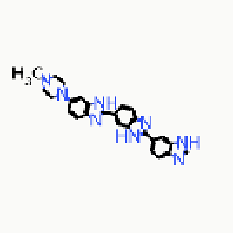 CN1CCN(c2ccc3nc(-c4ccc5nc(-c6ccc7nc[nH]c7c6)[nH]c5c4)[nH]c3c2)CC1